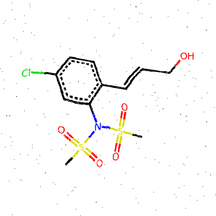 CS(=O)(=O)N(c1cc(Cl)ccc1C=CCO)S(C)(=O)=O